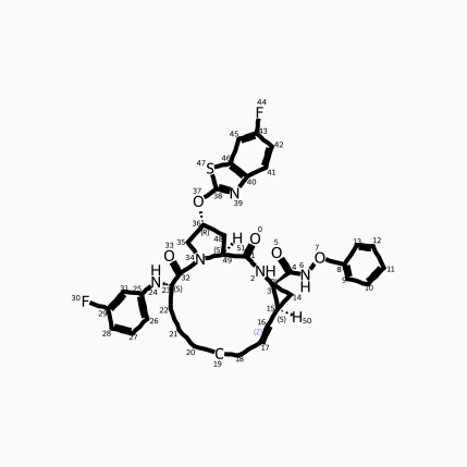 O=C1N[C@]2(C(=O)NOc3ccccc3)C[C@H]2/C=C\CCCCC[C@H](Nc2cccc(F)c2)C(=O)N2C[C@H](Oc3nc4ccc(F)cc4s3)C[C@@H]12